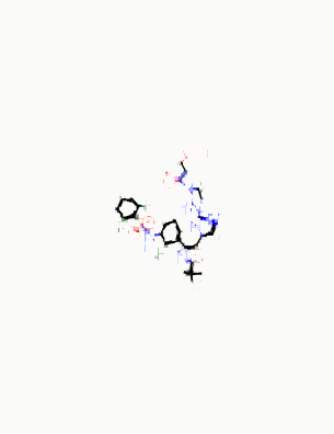 CO/C(=C\CO)N[C@@H](C)CNc1nccc(-c2sc(C(C)(C)C)nc2-c2cccc(NS(=O)(=O)c3c(F)cccc3F)c2F)n1